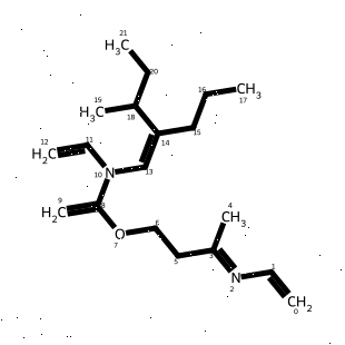 C=C/N=C(\C)CCOC(=C)N(C=C)/C=C(/CCC)C(C)CC